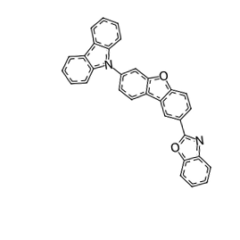 c1ccc2oc(-c3ccc4oc5cc(-n6c7ccccc7c7ccccc76)ccc5c4c3)nc2c1